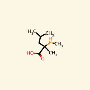 CPC(C)(CC(C)C)C(=O)O